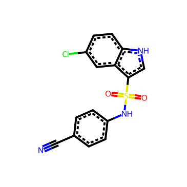 N#Cc1ccc(NS(=O)(=O)c2c[nH]c3ccc(Cl)cc23)cc1